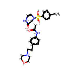 Cc1ccc(S(=O)(=O)N2C=CNC(=O)[C@H]2CC(=O)Nc2ccc(CCN3CCOCC3)cc2)cc1